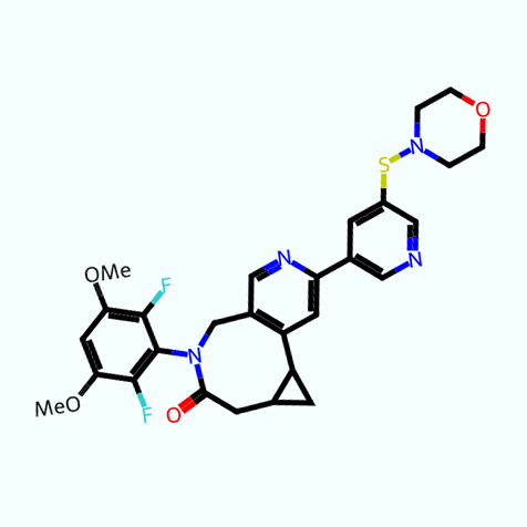 COc1cc(OC)c(F)c(N2Cc3cnc(-c4cncc(SN5CCOCC5)c4)cc3C3CC3CC2=O)c1F